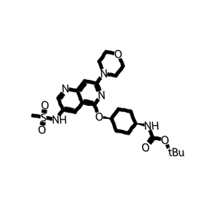 CC(C)(C)OC(=O)N[C@H]1CC[C@@H](Oc2nc(N3CCOCC3)cc3ncc(NS(C)(=O)=O)cc23)CC1